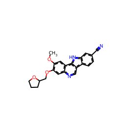 COc1cc2c(cc1OCC1CCCO1)ncc1c3ccc(C#N)cc3[nH]c21